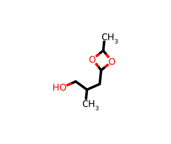 CC(CO)CC1OC(C)O1